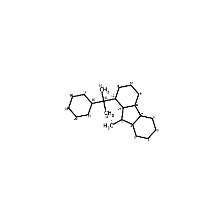 CC1C2CCCCC2C2CCCC(C(C)(C)C3CCCCC3)C12